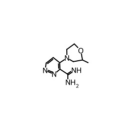 CC1CN(c2ccnnc2C(=N)N)CCO1